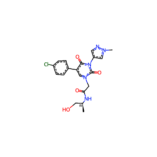 C[C@@H](CO)NC(=O)Cn1cc(-c2ccc(Cl)cc2)c(=O)n(-c2cnn(C)c2)c1=O